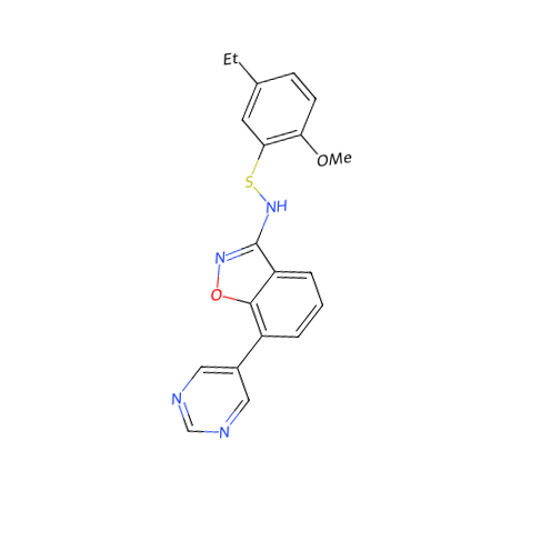 CCc1ccc(OC)c(SNc2noc3c(-c4cncnc4)cccc23)c1